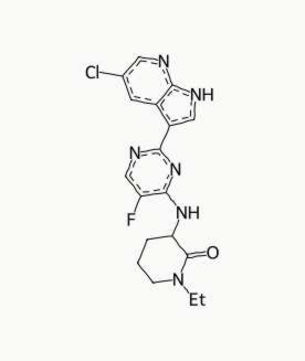 CCN1CCCC(Nc2nc(-c3c[nH]c4ncc(Cl)cc34)ncc2F)C1=O